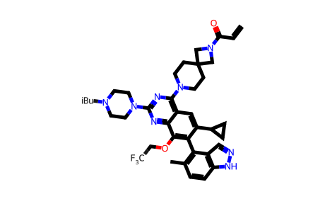 C=CC(=O)N1CC2(CCN(c3nc(N4CCN(C(C)CC)CC4)nc4c(OCC(F)(F)F)c(-c5c(C)ccc6[nH]ncc56)c(C5CC5)cc34)CC2)C1